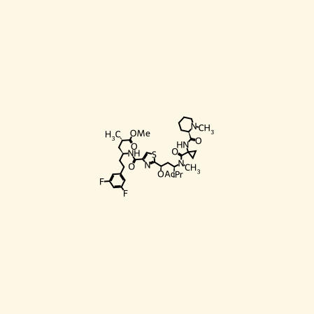 COC(=O)[C@@H](C)C[C@H](CCc1cc(F)cc(F)c1)NC(=O)c1csc([C@@H](C[C@H](C(C)C)N(C)C(=O)C2(NC(=O)[C@H]3CCCCN3C)CC2)OC(C)=O)n1